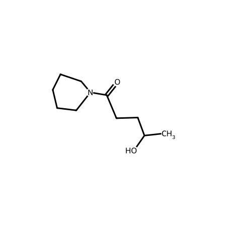 CC(O)CCC(=O)N1CCCCC1